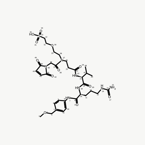 COCc1ccc(NC(=O)[C@H](CCCNC(N)=O)NC(=O)[C@@H](NC(=O)CCN(CCOCCS(=O)(=O)O)C(=O)CN2C(=O)C=CC2=O)C(C)C)cc1